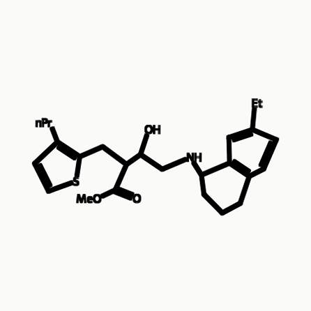 CCCc1ccsc1CC(C(=O)OC)C(O)CNC1CCCc2ccc(CC)cc21